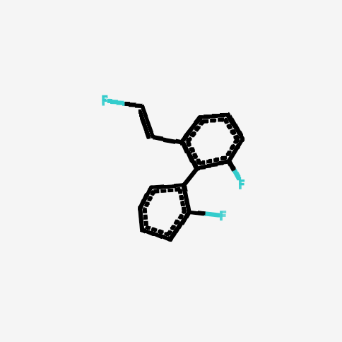 F/C=C/c1cccc(F)c1-c1ccccc1F